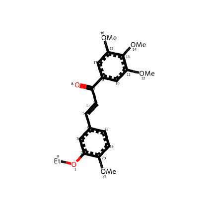 CCOc1cc(/C=C/C(=O)c2cc(OC)c(OC)c(OC)c2)ccc1OC